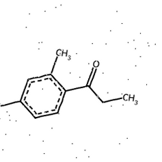 CCC(=O)c1ccc(F)cc1C